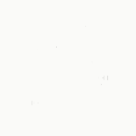 Oc1ccc2[c]ccc(O)c2c1